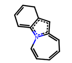 C1=CC=c2cc3c(n2C=C1)=CC=CC3